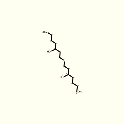 CCCCCCCCCCCCCC(N)CCOCCC(N)CCCCCCCCCCCCC